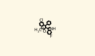 Cn1c(=O)c(-c2c[nH]c3cc(F)ccc23)c(-c2ccccc2)c2cc(Cl)ccc21